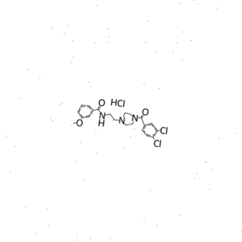 COc1cccc(C(=O)NCCN2CCN(C(=O)c3ccc(Cl)c(Cl)c3)CC2)c1.Cl